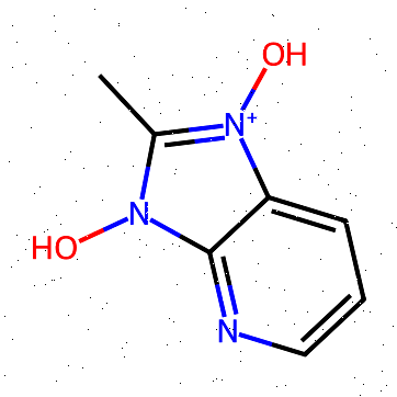 Cc1n(O)c2ncccc2[n+]1O